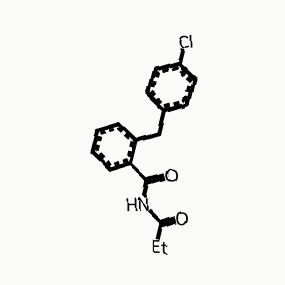 CCC(=O)NC(=O)c1ccccc1Cc1ccc(Cl)cc1